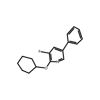 Fc1cc(-c2ccccc2)cnc1OC1CCCCC1